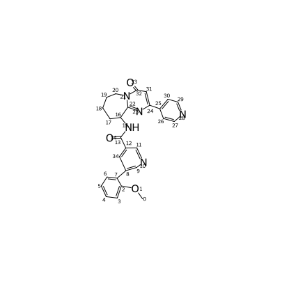 COc1ccccc1-c1cncc(C(=O)NC2CCCCn3c2nc(-c2ccncc2)cc3=O)c1